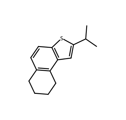 CC(C)c1cc2c3c(ccc2s1)CCCC3